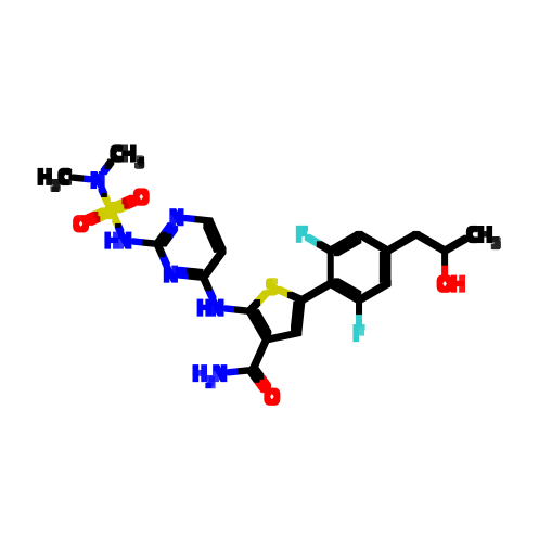 CC(O)Cc1cc(F)c(-c2cc(C(N)=O)c(Nc3ccnc(NS(=O)(=O)N(C)C)n3)s2)c(F)c1